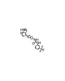 O=C(Nc1cccc(C(F)(F)F)c1)NC1CC2(C1)CN(c1ccnc3[nH]ncc13)C2